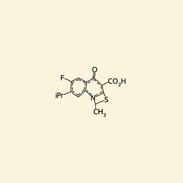 CC(C)c1cc2c(cc1F)c(=O)c(C(=O)O)c1n2C(C)S1